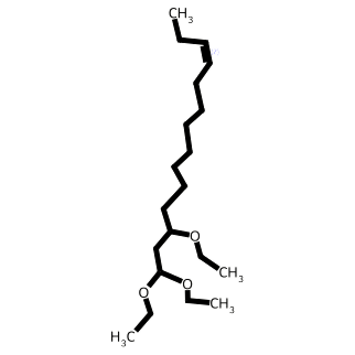 CC/C=C\CCCCCCCC(CC(OCC)OCC)OCC